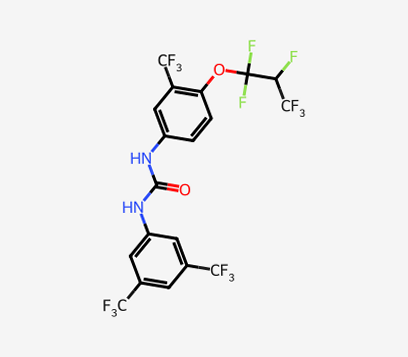 O=C(Nc1cc(C(F)(F)F)cc(C(F)(F)F)c1)Nc1ccc(OC(F)(F)C(F)C(F)(F)F)c(C(F)(F)F)c1